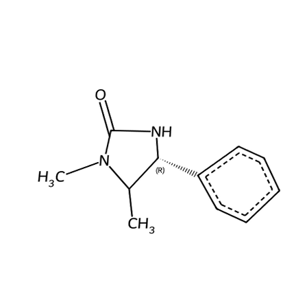 CC1[C@@H](c2ccccc2)NC(=O)N1C